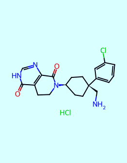 Cl.NC[C@]1(c2cccc(Cl)c2)CC[C@H](N2CCc3c(nc[nH]c3=O)C2=O)CC1